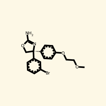 COCCOc1ccc([C@]2(c3cccc(Br)c3)COC(N)=N2)cc1